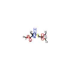 CCOC(=O)c1nc(SCC(OCC)OCC)[nH]c1C